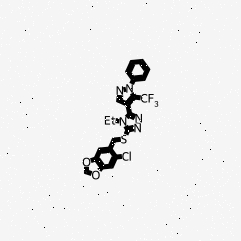 CCn1c(SCc2cc3c(cc2Cl)OCO3)nnc1-c1cnn(-c2ccccc2)c1C(F)(F)F